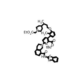 CCOC(=O)CN1CCC([C@H](C)CCOc2cccc(-c3ccc(N4CCc5cccc(C(=O)Nc6nc7ccccc7s6)c5C4)nc3C(=O)OC(C)(C)C)c2C)CC1